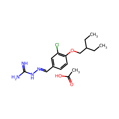 CC(=O)O.CCC(CC)COc1ccc(C=NNC(=N)N)cc1Cl